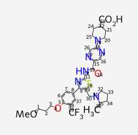 COCCCOc1ccc(-c2nc(NC(=O)c3cnc(N4CCC(C(=O)O)CC4)cn3)sc2CN2CCC[C@H]2C)cc1C(F)(F)F